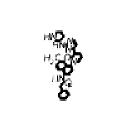 Cc1ccc2c(NC(=O)Cc3ccccc3F)cccc2c1Oc1ncccc1-c1ccnc(NC2CCCNC2)n1